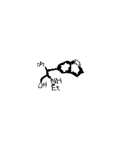 CCCC(c1ccc2occc2c1)C(CO)NCC